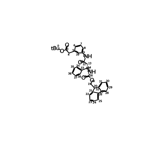 CC(C)(C)OC(=O)Cc1cccc(NC(=O)C[C@H](NC(=O)OCC2c3ccccc3-c3ccccc32)c2ccccc2)c1